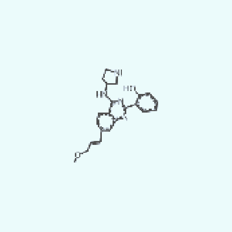 COC/C=C/c1ccc2c(NC3CCNC3)nc(-c3ccccc3O)nc2c1